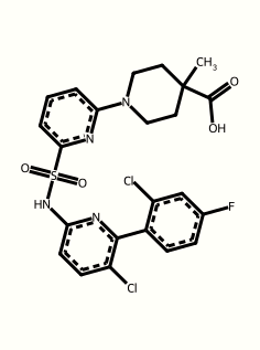 CC1(C(=O)O)CCN(c2cccc(S(=O)(=O)Nc3ccc(Cl)c(-c4ccc(F)cc4Cl)n3)n2)CC1